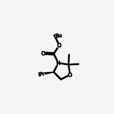 CC(C)[C@@H]1COC(C)(C)N1C(=O)OC(C)(C)C